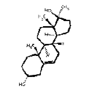 C[C@]12CC[C@@H](O)CC1=CC[C@@H]1[C@@H]2CC[C@@]2(C)[C@H]1CC[C@]2(C)O